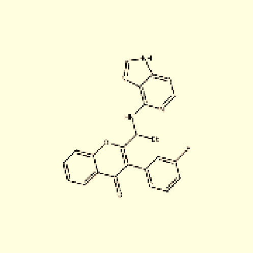 CCC(Nc1ncnc2[nH]cnc12)c1oc2ccccc2c(=O)c1-c1cccc(F)c1